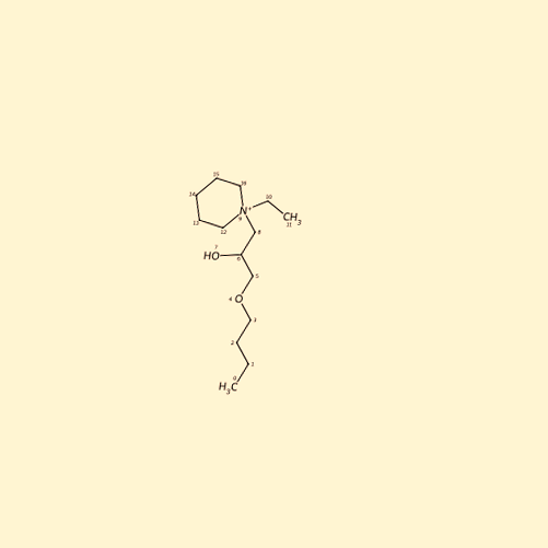 CCCCOCC(O)C[N+]1(CC)CCCCC1